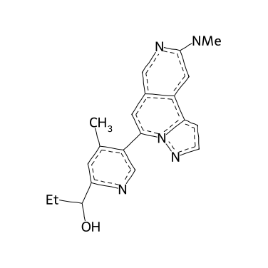 CCC(O)c1cc(C)c(-c2cc3cnc(NC)cc3c3ccnn23)cn1